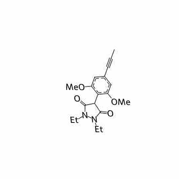 CC#Cc1cc(OC)c(C2C(=O)N(CC)N(CC)C2=O)c(OC)c1